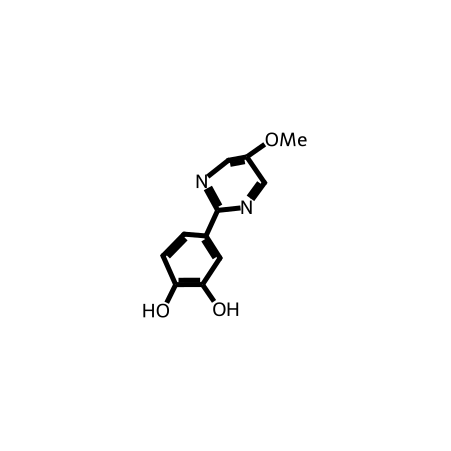 COc1cnc(-c2ccc(O)c(O)c2)nc1